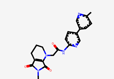 Cc1ccc(-c2ccc(NC(=O)CN3CCCC4=C3C(=O)N(C)C4=O)nc2)cn1